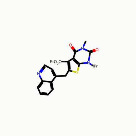 CCOC(=O)c1c(Cc2ccnc3ccccc23)sc2c1c(=O)n(C)c(=O)n2C(C)C